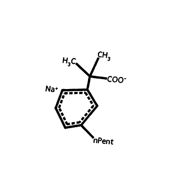 CCCCCc1cccc(C(C)(C)C(=O)[O-])c1.[Na+]